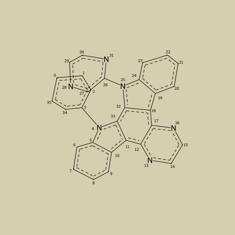 c1ccc(-n2c3ccccc3c3c4nccnc4c4c5ccccc5n(-c5cnccn5)c4c32)cc1